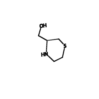 OCC1CSCCN1